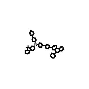 CC1(C)c2ccccc2-c2ccc(N(c3ccc(-c4ccccc4)cc3)c3ccc(-c4ccc(-c5ccc6c(c5)c(-c5ccccc5)cc5ccccc56)cc4)cc3)cc21